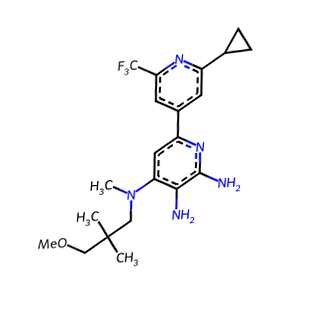 COCC(C)(C)CN(C)c1cc(-c2cc(C3CC3)nc(C(F)(F)F)c2)nc(N)c1N